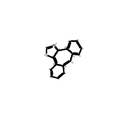 C1=NC2C(=c3ccccc3=Cc3ccccc32)S1